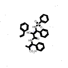 C/C(C(=O)O)=C(\NC(=O)/C(C#N)=C(/NS(=O)(=O)c1ccccc1)c1ccccc1)c1ccccc1.C=Cc1ccccc1